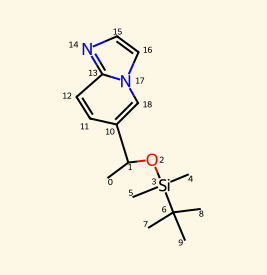 CC(O[Si](C)(C)C(C)(C)C)c1ccc2nccn2c1